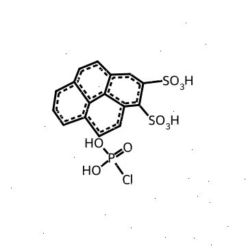 O=P(O)(O)Cl.O=S(=O)(O)c1cc2ccc3cccc4ccc(c1S(=O)(=O)O)c2c34